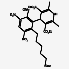 CCCCCCCCCCCCCCCc1c([N+](=O)[O-])cc([N+](=O)[O-])c(OC)c1C1C(C(=O)OCC)=C(C)NC(C)=C1C(=O)OCC